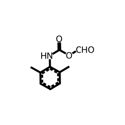 Cc1cccc(C)c1NC(=O)OC=O